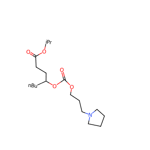 [CH2]C([CH2])OC(=O)CCC(CCCC)OC(=O)OCCCN1CCCC1